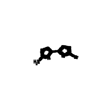 Nc1nc(-c2ccc(Br)s2)cs1